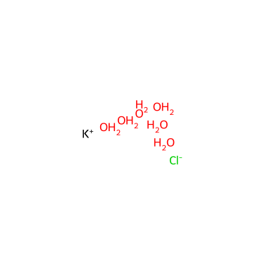 O.O.O.O.O.O.[Cl-].[K+]